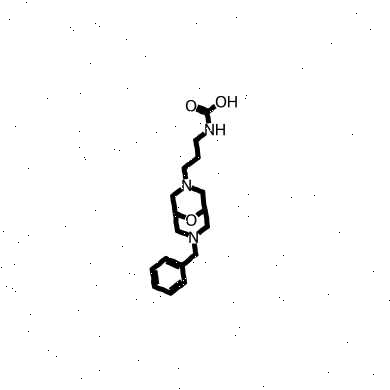 O=C(O)NCCCN1CC2CN(Cc3ccccc3)CC(C1)O2